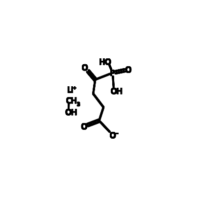 CO.O=C([O-])CCC(=O)P(=O)(O)O.[Li+]